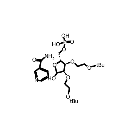 CC(C)(C)OCCO[C@@H]1[C@@H](COP(=O)(O)O)OC(O)[C@@H]1OCCOC(C)(C)C.NC(=O)c1cccnc1